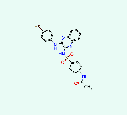 CC(=O)Nc1ccc(S(=O)(=O)Nc2nc3ccccc3nc2Nc2ccc(S)cc2)cc1